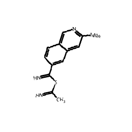 CNc1cc2cc(C(=N)SC(C)=N)ccc2cn1